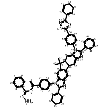 C=C(O/C(=N\N)c1ccccc1)c1ccc(-n2c(C3=CCCC=C3)nc3cc4c(cc32)C(C)(C)C2C=c3c(nc(-c5ccccc5)n3-c3ccc(-c5nnc(C6=CCCC=C6)o5)cc3)=CC42)cc1